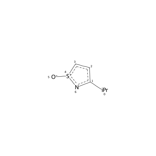 CC(C)c1cc[s+]([O-])n1